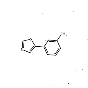 Cc1cccc(-c2cncs2)c1